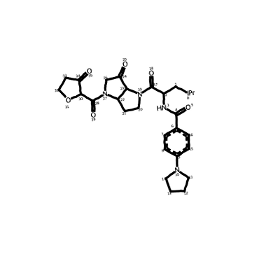 CC(C)CC(NC(=O)c1ccc(N2CCCC2)cc1)C(=O)N1CCC2C1C(=O)CN2C(=O)C1OCCC1=O